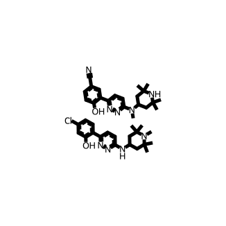 CN(c1ccc(-c2cc(C#N)ccc2O)nn1)C1CC(C)(C)NC(C)(C)C1.CN1C(C)(C)CC(Nc2ccc(-c3ccc(Cl)cc3O)nn2)CC1(C)C